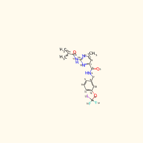 Cc1cc(C(=O)NCc2cccc(OC(F)(F)I)c2)nc(NC(=O)C(C)C)n1